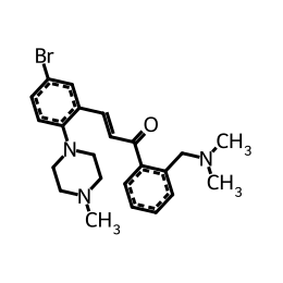 CN(C)Cc1ccccc1C(=O)C=Cc1cc(Br)ccc1N1CCN(C)CC1